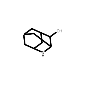 OC1C2CC3CC(C2)NC1C3